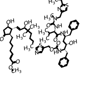 CC(C)c1nc(CN(C)C(=O)N[C@H](C(=O)N[C@@H](Cc2ccccc2)C[C@H](O)[C@H](Cc2ccccc2)NC(=O)OCc2cncs2)C(C)C)cs1.CCCCC(C)(C)[C@H](O)/C=C/[C@H]1[C@H](O)CC(=O)[C@@H]1CCCC/C=C/C(=O)OC